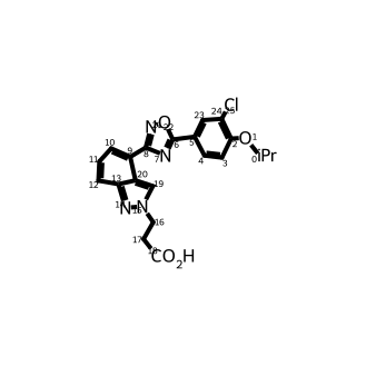 CC(C)Oc1ccc(-c2nc(-c3cccc4nn(CCC(=O)O)cc34)no2)cc1Cl